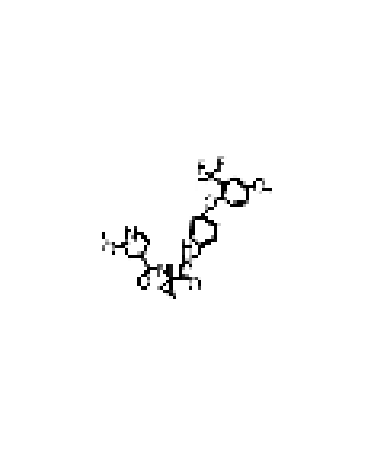 COc1ccc(Oc2ccc(CNC(=O)C3(NC(=O)c4ccnc(OC)c4)CC3)cc2)c(C(F)(F)F)c1